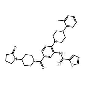 Cc1ccccc1N1CCN(c2ccc(C(=O)N3CCC(N4CCCC4=O)CC3)cc2NC(=O)c2ccco2)CC1